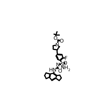 CC(C)(C)OC(=O)N1CCC(c2ccc([S@@](N)(=O)=NC(=O)Nc3c4c(cc5c3CCC5)CCC4)c(F)c2)C1